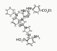 CCOC(=O)c1ccc(NC(=O)NC2CN(C3CCCCC3)c3ccccc3N(CC(=O)N3CCCC3)C2=O)cc1.CCc1c(N)cccc1C(=O)O